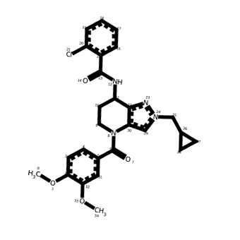 COc1ccc(C(=O)N2CCC(NC(=O)c3ccccc3Cl)c3nn(CC4CC4)cc32)cc1OC